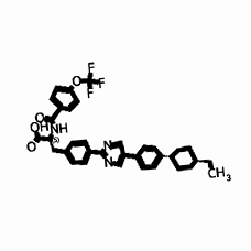 CC[C@H]1CC[C@H](c2ccc(-c3cnc(-c4ccc(C[C@H](NC(=O)c5ccc(OC(F)(F)F)cc5)C(=O)O)cc4)nc3)cc2)CC1